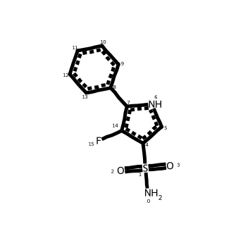 NS(=O)(=O)c1c[nH]c(-c2ccccc2)c1F